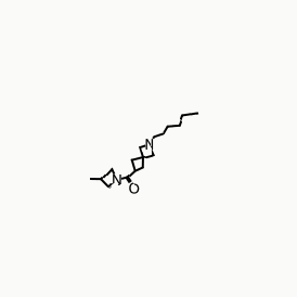 CCCCCCN1CC2(CC(C(=O)N3CC(C)C3)C2)C1